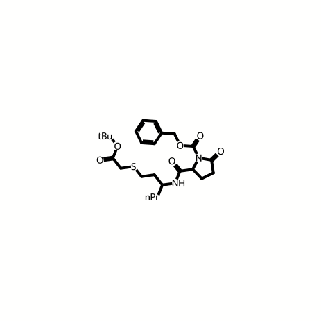 CCCC(CCSCC(=O)OC(C)(C)C)NC(=O)C1CCC(=O)N1C(=O)OCc1ccccc1